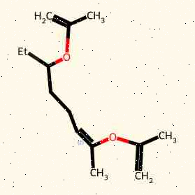 C=C(C)O/C(C)=C\CCC(CC)OC(=C)C